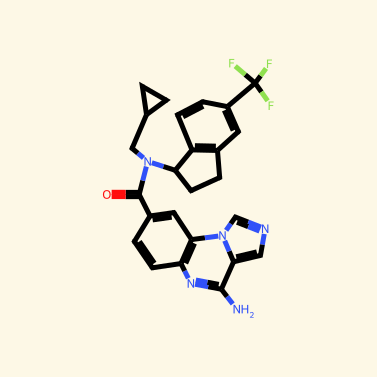 Nc1nc2ccc(C(=O)N(CC3CC3)C3CCc4cc(C(F)(F)F)ccc43)cc2n2cncc12